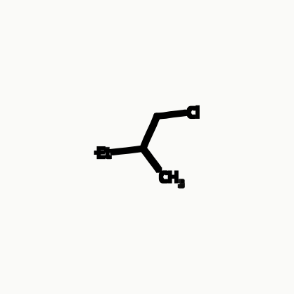 C[CH]C(C)CCl